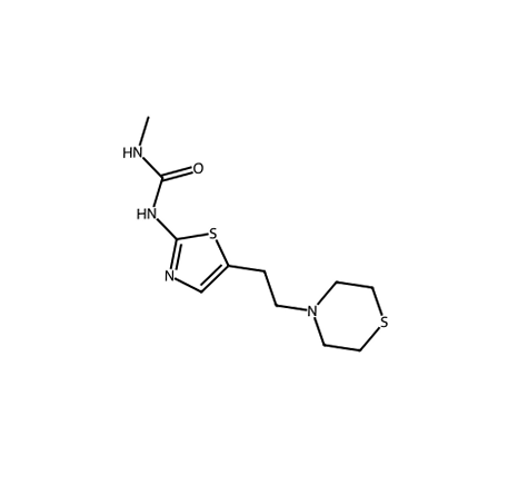 CNC(=O)Nc1ncc(CCN2CCSCC2)s1